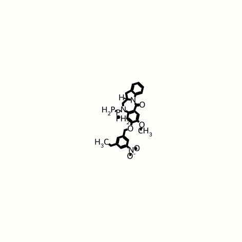 CCc1cc(COc2cc3c(cc2OC)C(=O)N2c4ccccc4C[C@H]2CN3P(P)P)cc([N+](=O)[O-])c1